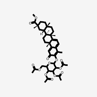 COC(=O)[C@]1(C)CC[C@]2(C)CC[C@]3(C)C4=CC=C5C(=CC(=O)C(OC6OC(COC(C)=O)C(OC(C)=O)C(OC(C)=O)C6OC(C)=O)=C5C)[C@]4(C)CC[C@@]3(C)[C@@H]2C1